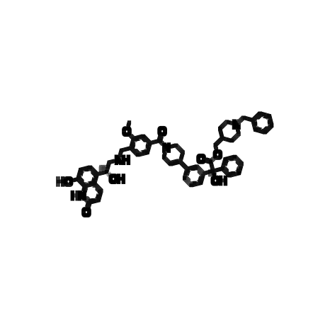 COc1cc(C(=O)N2CC=C(c3cccc([C@](O)(C(=O)OCC4CCN(Cc5ccccc5)CC4)c4ccccc4)c3)CC2)ccc1CNC[C@H](O)c1ccc(O)c2[nH]c(=O)ccc12